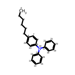 CCCCCCc1ccc(N(c2ccccc2)c2ccccc2)cc1